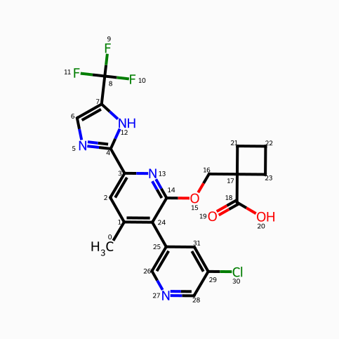 Cc1cc(-c2ncc(C(F)(F)F)[nH]2)nc(OCC2(C(=O)O)CCC2)c1-c1cncc(Cl)c1